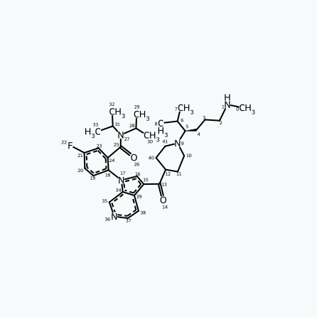 CNCCC[C@H](C(C)C)N1CCC(C(=O)c2cn(-c3ccc(F)cc3C(=O)N(C(C)C)C(C)C)c3cnccc23)CC1